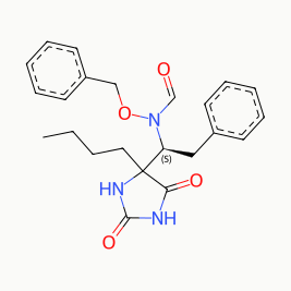 CCCCC1([C@H](Cc2ccccc2)N(C=O)OCc2ccccc2)NC(=O)NC1=O